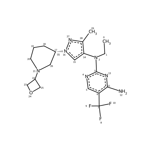 CCN(c1ncc(C(F)(F)F)c(N)n1)c1cn([C@H]2CCCN(C3COC3)C2)nc1C